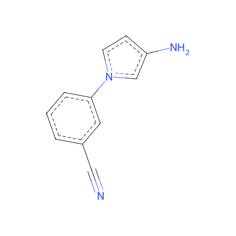 N#Cc1cccc(-n2ccc(N)c2)c1